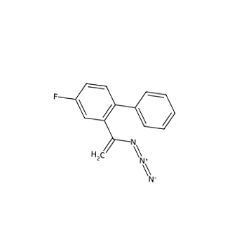 C=C(N=[N+]=[N-])c1cc(F)ccc1-c1ccccc1